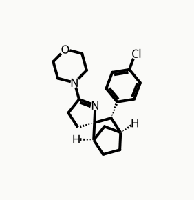 Clc1ccc([C@@H]2[C@H]3CC[C@H](C3)[C@]23CCC(N2CCOCC2)=N3)cc1